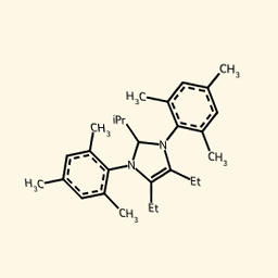 CCC1=C(CC)N(c2c(C)cc(C)cc2C)C(C(C)C)N1c1c(C)cc(C)cc1C